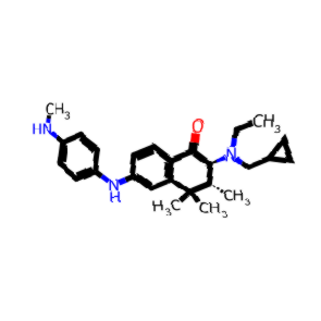 CCN(CC1CC1)[C@@H]1C(=O)c2ccc(Nc3ccc(NC)cc3)cc2C(C)(C)[C@H]1C